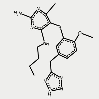 CCCCNc1nc(N)nc(C)c1Sc1cc(Cc2nn[nH]n2)ccc1OC